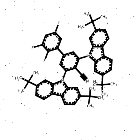 CC(C)(C)c1ccc2c3ccc(C(C)(C)C)cc3n(-c3cc(-c4cc(F)cc(F)c4F)cc(-n4c5cc(C(C)(C)C)ccc5c5ccc(C(C)(C)C)cc54)c3C#N)c2c1